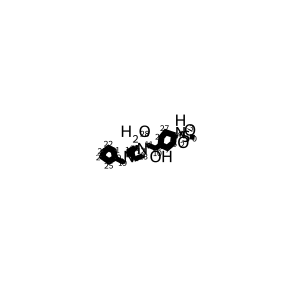 CS(=O)(=O)Nc1ccc(C(O)CN2CC3CC2CN3Cc2ccccc2)cc1.O